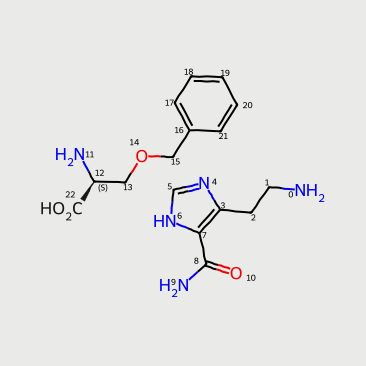 NCCc1nc[nH]c1C(N)=O.N[C@@H](COCc1ccccc1)C(=O)O